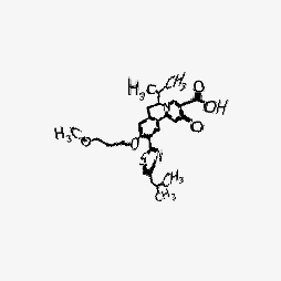 COCCCOc1cc2c(cc1-c1nc(C(C)C)cs1)-c1cc(=O)c(C(=O)O)cn1C(C(C)C)C2